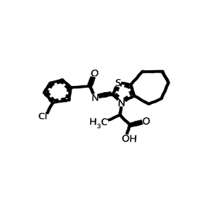 CC(C(=O)O)n1c2c(s/c1=N\C(=O)c1cccc(Cl)c1)CCCCC2